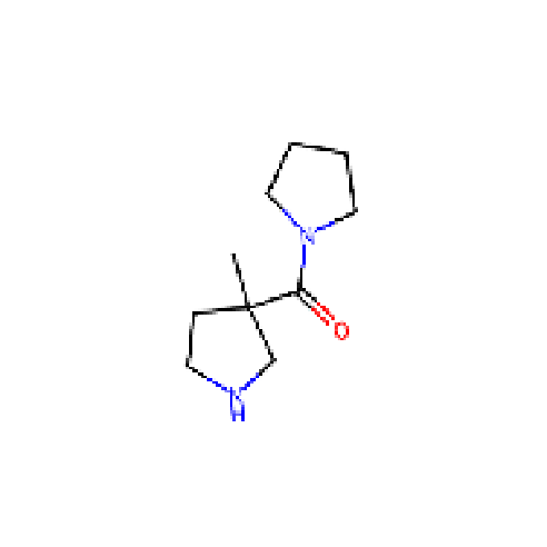 CC1(C(=O)N2CCCC2)CCNC1